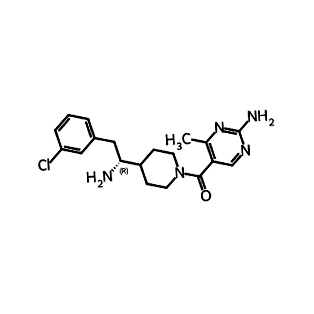 Cc1nc(N)ncc1C(=O)N1CCC([C@H](N)Cc2cccc(Cl)c2)CC1